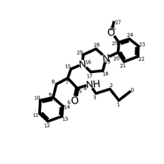 CCCCNC(=O)C(Cc1ccccc1)CN1CCN(c2ccccc2OC)CC1